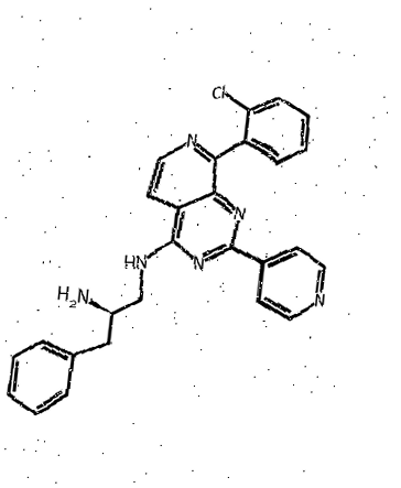 N[C@@H](CNc1nc(-c2ccncc2)nc2c(-c3ccccc3Cl)nccc12)Cc1ccccc1